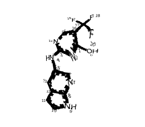 Oc1nc(Nc2cnc3[nH]ccc3c2)ncc1C(F)(F)F